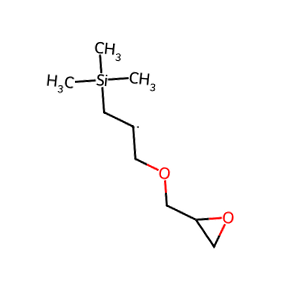 C[Si](C)(C)C[CH]COCC1CO1